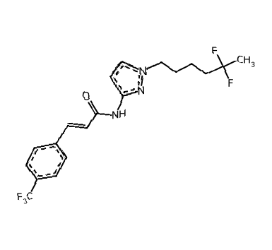 CC(F)(F)CCCCn1ccc(NC(=O)C=Cc2ccc(C(F)(F)F)cc2)n1